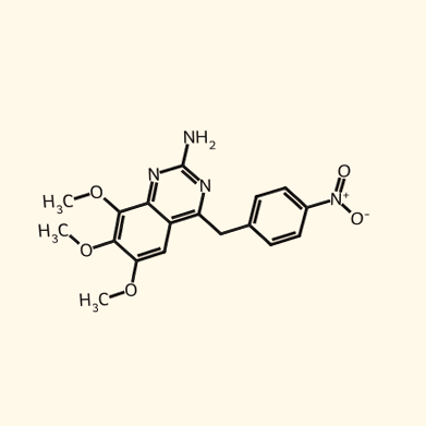 COc1cc2c(Cc3ccc([N+](=O)[O-])cc3)nc(N)nc2c(OC)c1OC